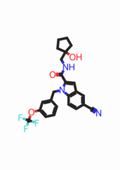 N#Cc1ccc2c(c1)cc(C(=O)NCC1(O)CCCC1)n2Cc1cccc(OC(F)(F)F)c1